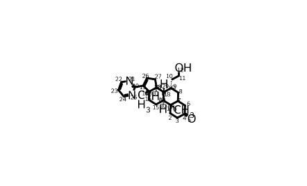 C[C@]12CCC(=O)CC1C[C@@H](CCO)[C@@H]1[C@@H]2CC[C@]2(C)C(c3ncccn3)=CC[C@@H]12